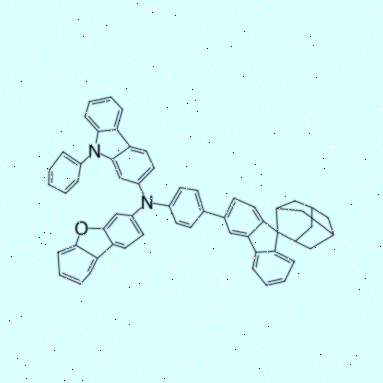 c1ccc(-n2c3ccccc3c3ccc(N(c4ccc(-c5ccc6c(c5)-c5ccccc5C65C6CC7CC(C6)CC5C7)cc4)c4ccc5c(c4)oc4ccccc45)cc32)cc1